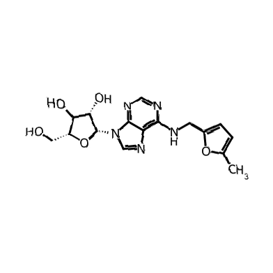 Cc1ccc(CNc2ncnc3c2ncn3[C@@H]2O[C@H](CO)C(O)[C@@H]2O)o1